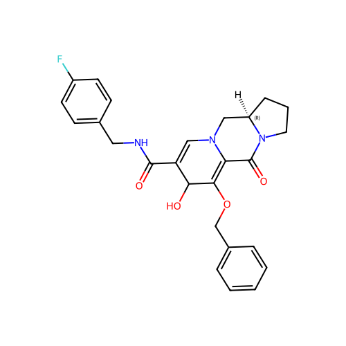 O=C(NCc1ccc(F)cc1)C1=CN2C[C@H]3CCCN3C(=O)C2=C(OCc2ccccc2)C1O